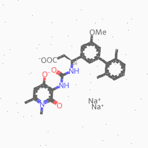 COc1cc(-c2c(C)cccc2C)cc([C@H](CC(=O)[O-])NC(=O)Nc2c([O-])cc(C)n(C)c2=O)c1.[Na+].[Na+]